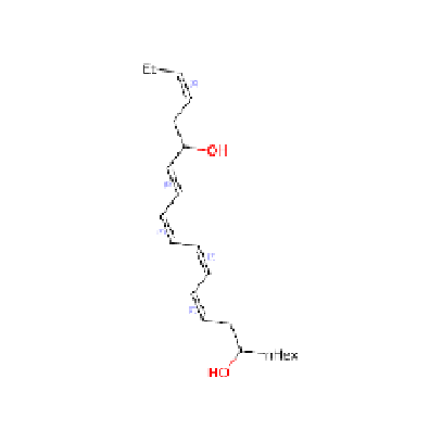 CC/C=C\CC(O)/C=C/C=C\C=C/C=C\CC(O)CCCCCC